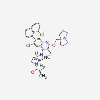 C=C(F)C(=O)N1CC[C@@H]2[C@H]1CN2c1c(CC#N)c(OCC23CCCN2CCC3)nc2cc(-c3cccc4cccc(Cl)c34)c(Cl)cc12